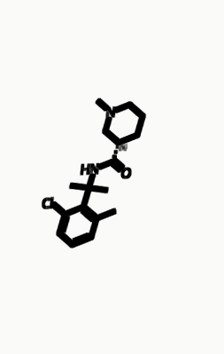 Cc1cccc(Cl)c1C(C)(C)NC(=O)[C@H]1CCCN(C)C1